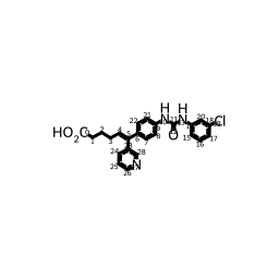 O=C(O)CCCC=C(c1ccc(NC(=O)Nc2cccc(Cl)c2)cc1)c1cccnc1